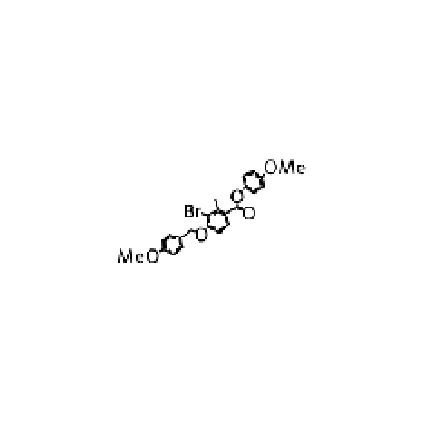 COc1ccc(COc2ccc(C(=O)Oc3ccc(OC)cc3)c(C)c2Br)cc1